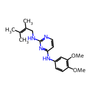 COc1ccc(Nc2ccnc(NCC(C)=C(C)C)n2)cc1OC